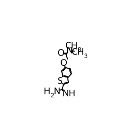 CN(C)C(=O)COc1ccc2cc(C(=N)N)sc2c1